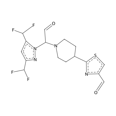 O=Cc1csc(C2CCN(C(C=O)n3nc(C(F)F)cc3C(F)F)CC2)n1